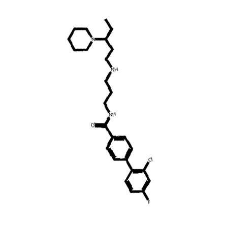 CCC(CCNCCCNC(=O)c1ccc(-c2ccc(F)cc2Cl)cc1)N1CCCCC1